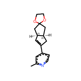 Cc1cc(C2=C[C@H]3CC4(C[C@H]3C2)OCCO4)ccn1